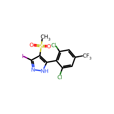 CS(=O)(=O)c1c(I)n[nH]c1-c1c(Cl)cc(C(F)(F)F)cc1Cl